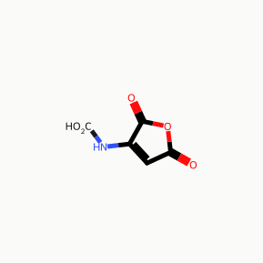 O=C(O)NC1=CC(=O)OC1=O